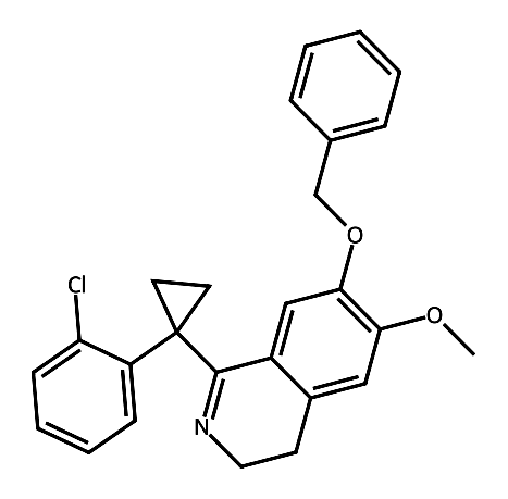 COc1cc2c(cc1OCc1ccccc1)C(C1(c3ccccc3Cl)CC1)=NCC2